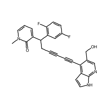 Cn1cccc(C(CC#CC#Cc2c(CO)cnc3[nH]ccc23)c2cc(F)ccc2F)c1=O